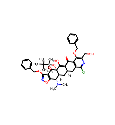 CN(C)[C@@H]1c2onc(OCc3ccccc3)c2C(=O)[C@@]2(O[Si](C)(C)C(C)(C)C)C(O)=C3C(=O)c4c(c(Cl)nc(CO)c4OCc4ccccc4)C[C@H]3C[C@@H]12